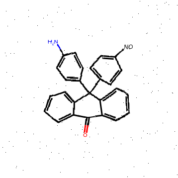 Nc1ccc(C2(c3ccc(N=O)cc3)c3ccccc3C(=O)c3ccccc32)cc1